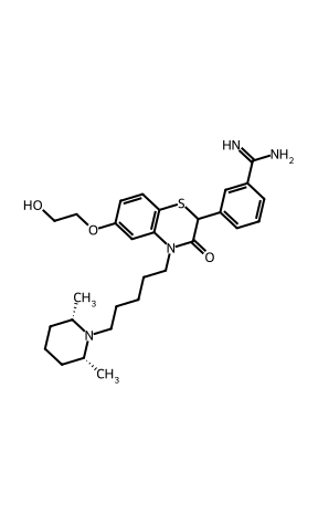 C[C@@H]1CCC[C@H](C)N1CCCCCN1C(=O)C(c2cccc(C(=N)N)c2)Sc2ccc(OCCO)cc21